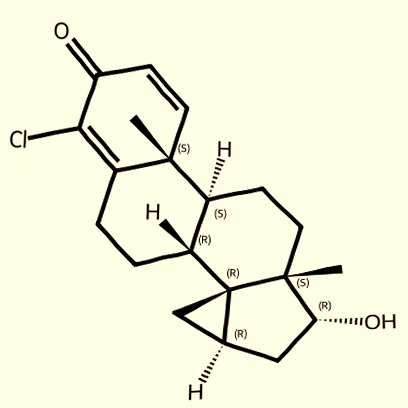 C[C@]12C=CC(=O)C(Cl)=C1CC[C@@H]1[C@@H]2CC[C@]2(C)[C@H](O)C[C@H]3C[C@@]312